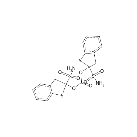 NS(=O)(=O)C1(OC(=O)OC2(S(N)(=O)=O)Cc3ccccc3S2)Cc2ccccc2S1